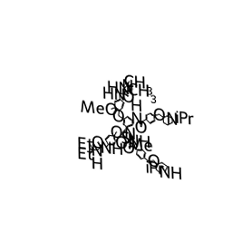 CCC(CC)NC(=O)Nc1ccc(Oc2cnc(NC(=O)c3ccc(C(OC4CCNCC4)C(C)C)cc3)s2)c(OC)c1.COc1cc(NC(=O)NN(C)C)ccc1Oc1cccc(NC(=O)c2ccc(OC3CCCN(C(C)C)C3)cc2)c1